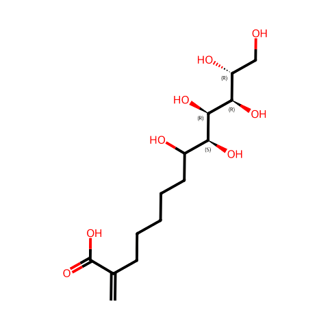 C=C(CCCCCC(O)[C@H](O)[C@@H](O)[C@H](O)[C@H](O)CO)C(=O)O